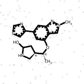 C[C@@H](Oc1cc(-c2cscn2)cc2nn(C)cc12)[C@H]1CNC(O)C1